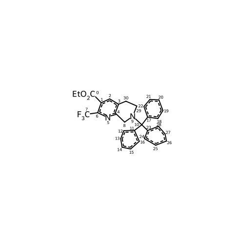 CCOC(=O)c1cc2c(nc1C(F)(F)F)CN(C(c1ccccc1)(c1ccccc1)c1ccccc1)CC2